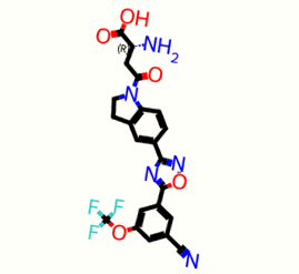 N#Cc1cc(OC(F)(F)F)cc(-c2nc(-c3ccc4c(c3)CCN4C(=O)C[C@@H](N)C(=O)O)no2)c1